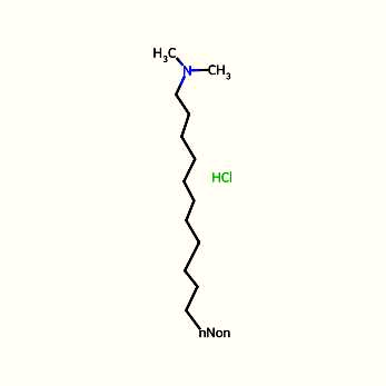 CCCCCCCCCCCCCCCCCCCCN(C)C.Cl